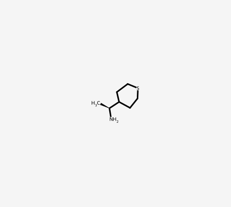 C[C@H](N)C1CCSCC1